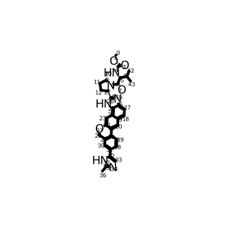 COC(=O)N[C@H](C(=O)N1[C@@H](C)CC[C@H]1c1nc2ccc3cc4c(cc3c2[nH]1)OCc1cc(-c2cnc(C)[nH]2)ccc1-4)C(C)C